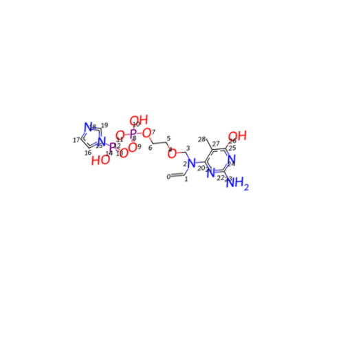 C=CN(COCCOP(=O)(O)OP(=O)(O)n1ccnc1)c1nc(N)nc(O)c1C